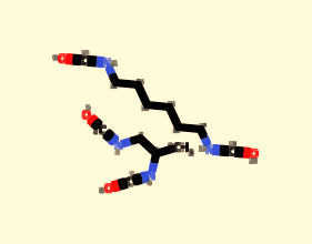 CC(CN=C=O)N=C=O.O=C=NCCCCCCN=C=O